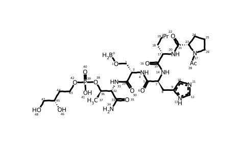 BOC[C@H](NC(=O)[C@H](Cc1cnc[nH]1)NC(=O)[C@H](CC(C)C)NC(=O)[C@@H]1CCCN1C(C)=O)C(=O)N[C@H](C(N)=O)[C@@H](C)OP(=O)(O)OCC[C@H](O)CO